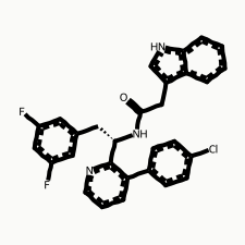 O=C(Cc1c[nH]c2ccccc12)N[C@@H](Cc1cc(F)cc(F)c1)c1ncccc1-c1ccc(Cl)cc1